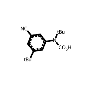 CC(C)(C)c1cc(C#N)cc(N(C(=O)O)C(C)(C)C)c1